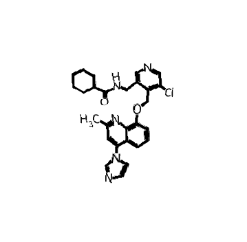 Cc1cc(-n2ccnc2)c2cccc(OCc3c(Cl)cncc3CNC(=O)C3CCCCC3)c2n1